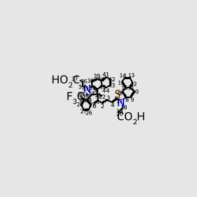 C=C(/C=C/C=C1\Sc2c(ccc3ccccc23)N1CCC(=O)O)C(C)(Cc1ccccc1C(F)(F)F)c1c(N(C)CCC(=O)O)ccc2ccccc12